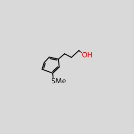 CSc1cccc(CCCO)c1